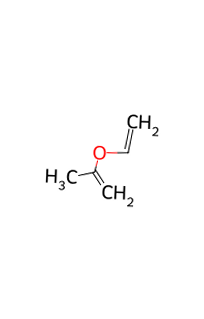 C=COC(=C)C